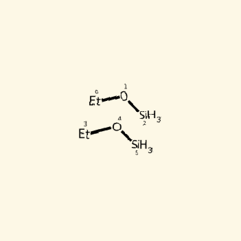 CCO[SiH3].CCO[SiH3]